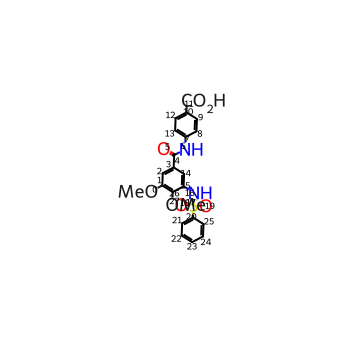 COc1cc(C(=O)Nc2ccc(C(=O)O)cc2)cc(NS(=O)(=O)c2ccccc2)c1OC